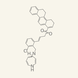 C1=CC=CNC=C1.NCc1c(Cl)cccc1C=CCS(=O)(=O)C1=CCCc2c1ccc1c2CCc2ccccc2-1